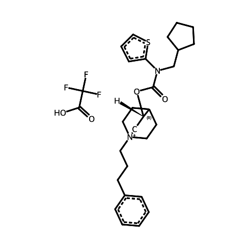 O=C(O)C(F)(F)F.O=C(O[C@H]1C[N+]2(CCCc3ccccc3)CCC1CC2)N(CC1CCCC1)c1cccs1